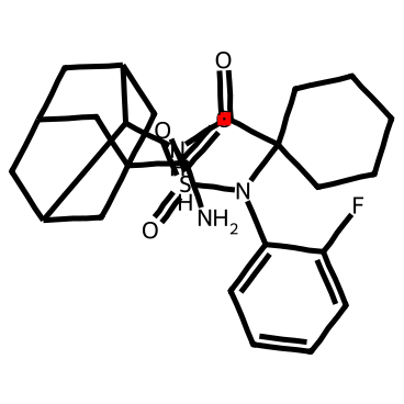 NC(=O)C12CC3CC(C1)C(NC(=O)C1(N(c4ccccc4F)[SH](=O)=O)CCCCC1)C(C3)C2